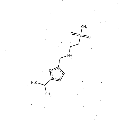 CC(C)c1ccc(CNCCS(C)(=O)=O)o1